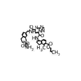 C=CCOC(=O)c1ccc2c(c1C)CC[C@@H]2NC(=O)c1cc(C(=O)NCc2ccc3c(c2)CN(S(N)(=O)=O)CC3)nc2ncnn12